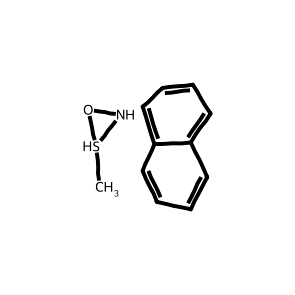 C[SH]1NO1.c1ccc2ccccc2c1